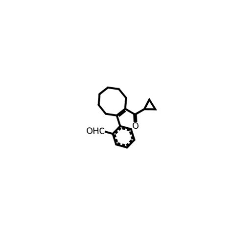 O=Cc1ccccc1C1=C(C(=O)C2CC2)CCCCCC1